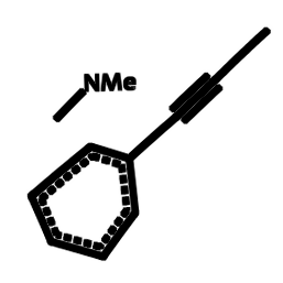 CC#Cc1ccccc1.CNC